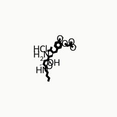 CCCCNC(=O)[C@H](C)C[C@H](O)[C@@H](N)C[C@H](Cc1ccc(OC)c(OCC(=O)OC)c1)C(C)C.Cl